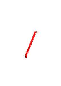 OCCOCCOCCOCCOCCOCCOCCOCCOCCOCCOCCOCCOCCOCCOCCOCCOCCOCCOc1ccccc1